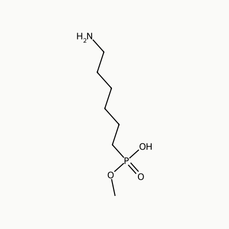 COP(=O)(O)CCCCCCN